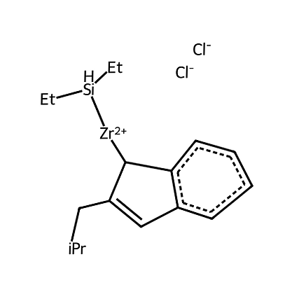 CC[SiH](CC)[Zr+2][CH]1C(CC(C)C)=Cc2ccccc21.[Cl-].[Cl-]